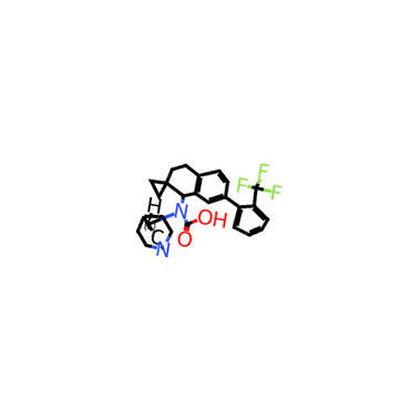 O=C(O)N(C1c2cc(-c3ccccc3C(F)(F)F)ccc2CCC12CC2)[C@@H]1CN2CCC1CC2